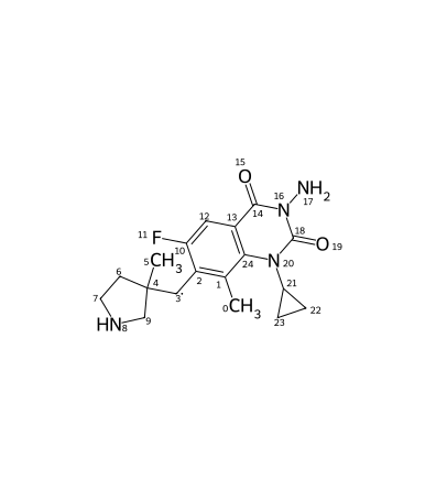 Cc1c([CH]C2(C)CCNC2)c(F)cc2c(=O)n(N)c(=O)n(C3CC3)c12